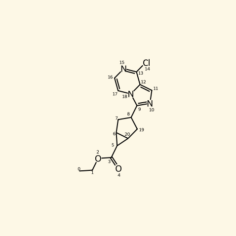 CCOC(=O)C1C2CC(c3ncc4c(Cl)nccn34)CC21